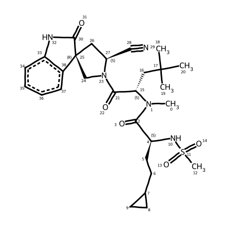 CN(C(=O)[C@H](CCC1CC1)NS(C)(=O)=O)[C@@H](CC(C)(C)C)C(=O)N1C[C@]2(C[C@H]1C#N)C(=O)Nc1ccccc12